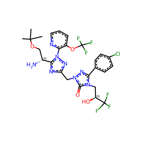 CC(C)(C)OC[C@@H](N)c1nc(Cn2nc(-c3ccc(Cl)cc3)n(C[C@H](O)C(F)(F)F)c2=O)nn1-c1ncccc1OC(F)(F)F